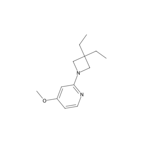 CCC1(CC)CN(c2cc(OC)ccn2)C1